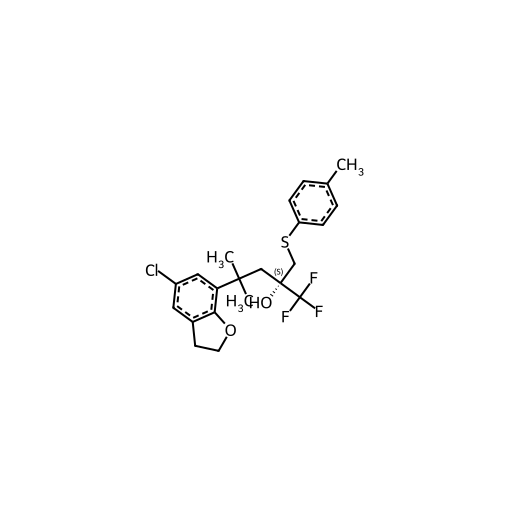 Cc1ccc(SC[C@](O)(CC(C)(C)c2cc(Cl)cc3c2OCC3)C(F)(F)F)cc1